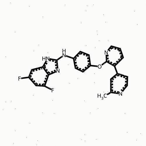 Cc1cc(-c2cccnc2Oc2ccc(Nc3nc4c(F)cc(F)cc4[nH]3)cc2)ccn1